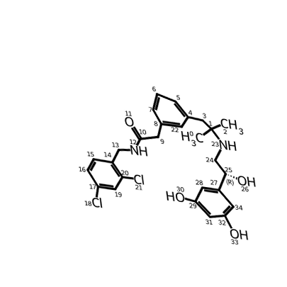 CC(C)(Cc1cccc(CC(=O)NCc2ccc(Cl)cc2Cl)c1)NC[C@H](O)c1cc(O)cc(O)c1